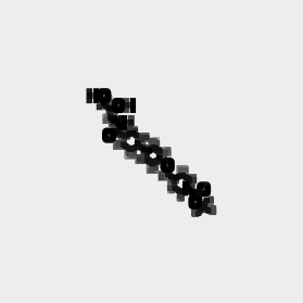 CC(C)(C)OC(=O)N1CCC(COc2ccc(C3=CCC(C(=O)NCC(O)CO)CC3)cc2)CC1